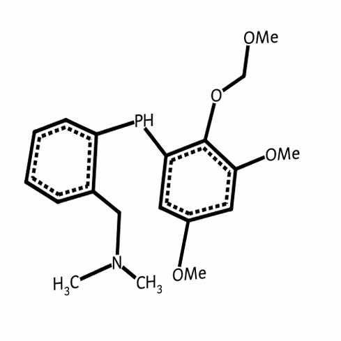 COCOc1c(OC)cc(OC)cc1Pc1ccccc1CN(C)C